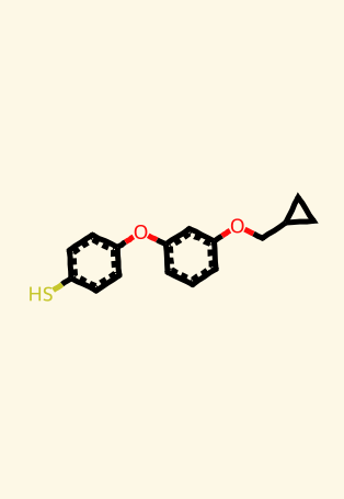 Sc1ccc(Oc2cccc(OCC3CC3)c2)cc1